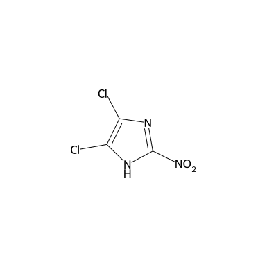 O=[N+]([O-])c1nc(Cl)c(Cl)[nH]1